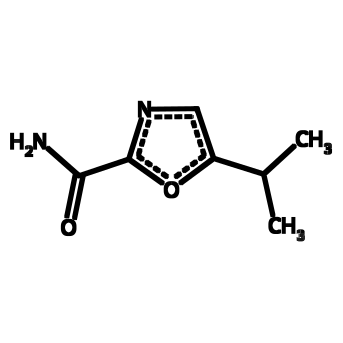 CC(C)c1cnc(C(N)=O)o1